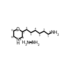 NCCCCCCC1CNCCO1.NN